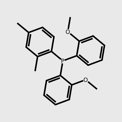 COc1ccccc1P(c1ccc(C)cc1C)c1ccccc1OC